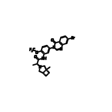 CC(C(=O)Nc1cc(-n2cnc3cc(Br)ccc3c2=O)ccc1OC(F)(F)F)N1CC2CCC2(C)C1